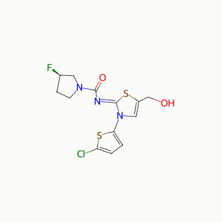 O=C(N=c1sc(CO)cn1-c1ccc(Cl)s1)N1CC[C@@H](F)C1